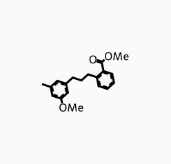 COC(=O)c1ccccc1CCCc1cc(C)cc(OC)c1